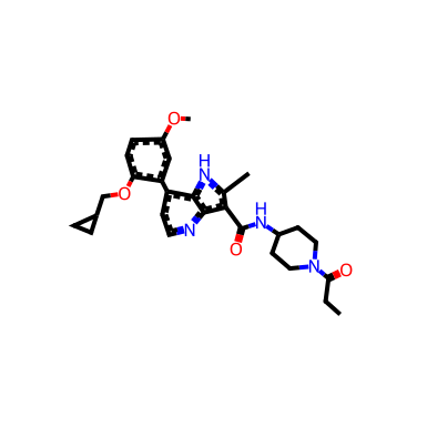 CCC(=O)N1CCC(NC(=O)c2c(C)[nH]c3c(-c4cc(OC)ccc4OCC4CC4)ccnc23)CC1